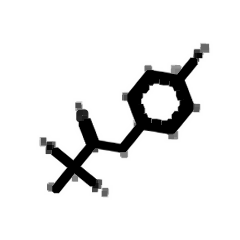 CC(F)(F)C(=O)Cc1ccc(F)cc1